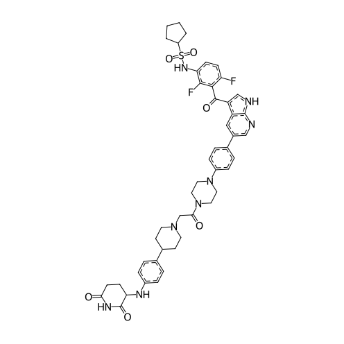 O=C1CCC(Nc2ccc(C3CCN(CC(=O)N4CCN(c5ccc(-c6cnc7[nH]cc(C(=O)c8c(F)ccc(NS(=O)(=O)C9CCCC9)c8F)c7c6)cc5)CC4)CC3)cc2)C(=O)N1